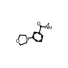 CNC(=O)c1cccc(N2CCOCC2)c1